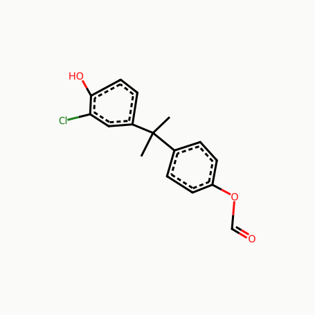 CC(C)(c1ccc(OC=O)cc1)c1ccc(O)c(Cl)c1